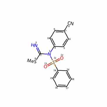 CSC(=N)N(c1ccc(C#N)cc1)S(=O)(=O)c1ccccc1